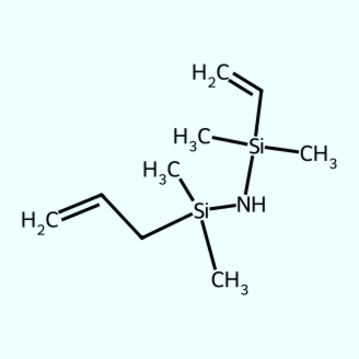 C=CC[Si](C)(C)N[Si](C)(C)C=C